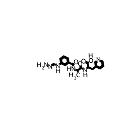 CC(NC(=O)c1cccc(NC=NN)c1)C(=O)NC(Cc1cccnc1)C(=O)O